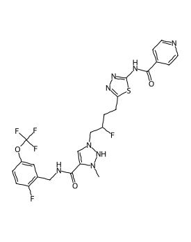 CN1NN(CC(F)CCc2nnc(NC(=O)c3ccncc3)s2)C=C1C(=O)NCc1cc(OC(F)(F)F)ccc1F